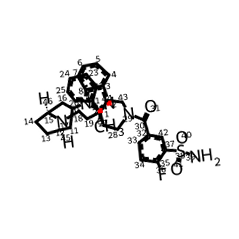 Cc1nc2ccccc2n1C1C[C@H]2CC[C@@H](C1)N2CCC1(c2ccccc2)CCN(C(=O)c2ccc(F)c(S(N)(=O)=O)c2)CC1